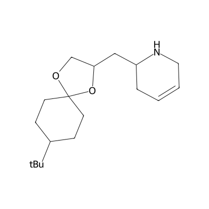 CC(C)(C)C1CCC2(CC1)OCC(CC1CC=CCN1)O2